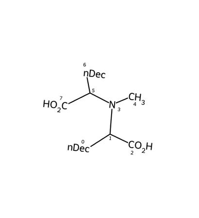 CCCCCCCCCCC(C(=O)O)N(C)C(CCCCCCCCCC)C(=O)O